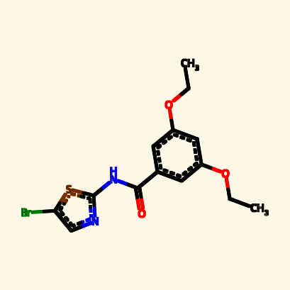 CCOc1cc(OCC)cc(C(=O)Nc2ncc(Br)s2)c1